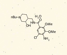 CCCCN1CCC(CNC(=O)c2cc(Cl)c(N)c(OC)c2OC)C(O)C1.O